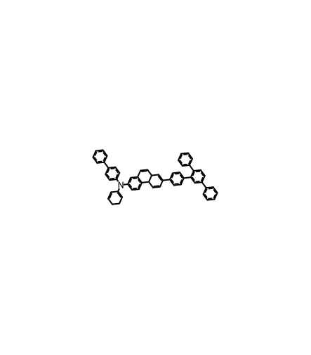 C1=CC(N(c2ccc(-c3ccccc3)cc2)c2ccc3c(c2)C=CC2C=C(c4ccc(-c5cc(-c6ccccc6)ccc5-c5ccccc5)cc4)C=CC32)=CCC1